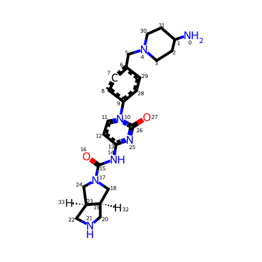 NC1CCN(Cc2ccc(-n3ccc(NC(=O)N4C[C@H]5CNC[C@H]5C4)nc3=O)cc2)CC1